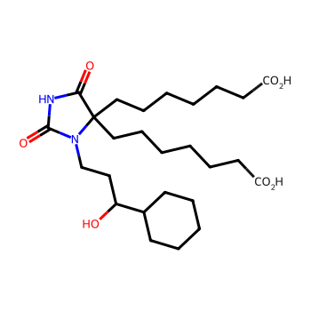 O=C(O)CCCCCCC1(CCCCCCC(=O)O)C(=O)NC(=O)N1CCC(O)C1CCCCC1